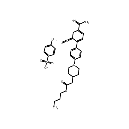 CCCCOC(=O)CC1CCN(c2ccc(C3=CC=C(C(=N)N)CC3=C=O)cc2)CC1.Cc1ccc(S(=O)(=O)O)cc1